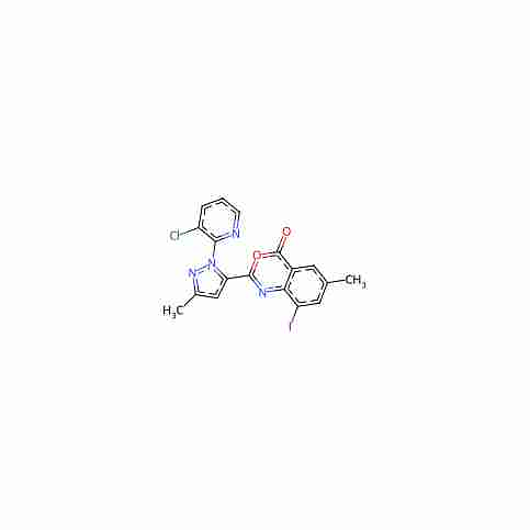 Cc1cc(I)c2nc(-c3cc(C)nn3-c3ncccc3Cl)oc(=O)c2c1